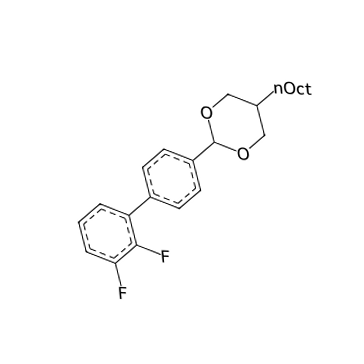 CCCCCCCCC1COC(c2ccc(-c3cccc(F)c3F)cc2)OC1